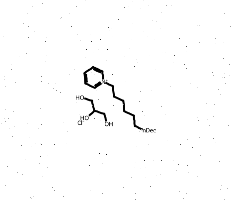 CCCCCCCCCCCCCCCC[n+]1ccccc1.OCC(O)CO.[Cl-]